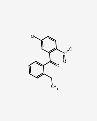 CCc1ccccc1C(=O)c1nc(Cl)ccc1[N+](=O)[O-]